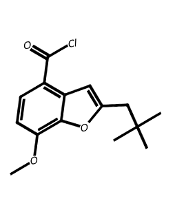 COc1ccc(C(=O)Cl)c2cc(CC(C)(C)C)oc12